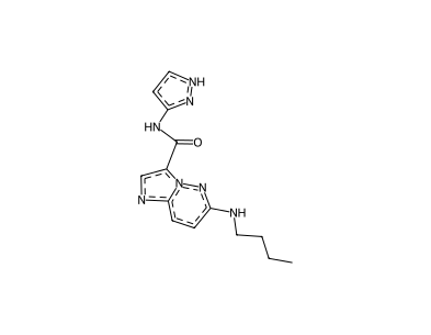 CCCCNc1ccc2ncc(C(=O)Nc3cc[nH]n3)n2n1